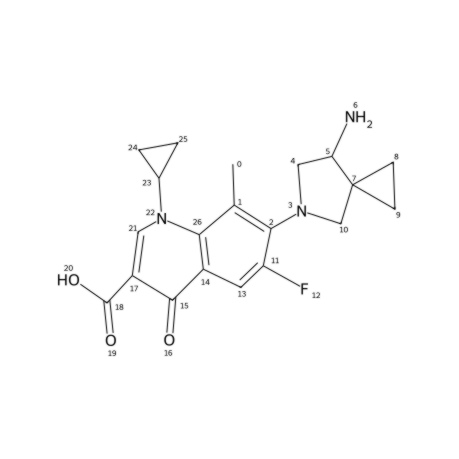 Cc1c(N2CC(N)C3(CC3)C2)c(F)cc2c(=O)c(C(=O)O)cn(C3CC3)c12